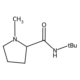 CN1CCCC1C(=O)NC(C)(C)C